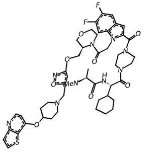 CN[C@@H](C)C(=O)N[C@H](C(=O)N1CCN(C(=O)c2cc3cc(F)c(F)cc3n2CC(=O)N2CCOC[C@@H]2COc2cc(CN3CCC(Oc4ccnc5ccsc45)CC3)on2)CC1)C1CCCCC1